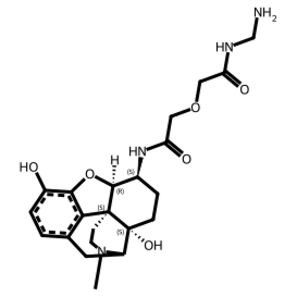 CN1CC[C@]23c4c5ccc(O)c4O[C@H]2[C@@H](NC(=O)COCC(=O)NCN)CC[C@@]3(O)C1C5